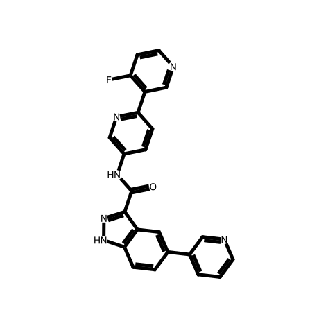 O=C(Nc1ccc(-c2cnccc2F)nc1)c1n[nH]c2ccc(-c3cccnc3)cc12